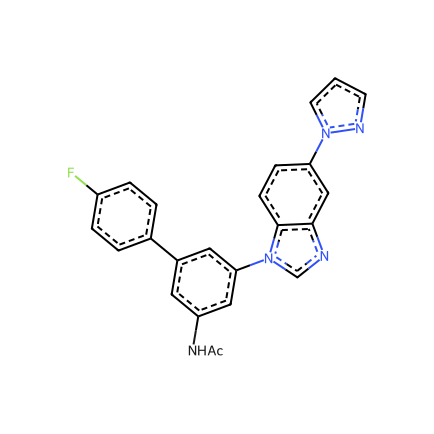 CC(=O)Nc1cc(-c2ccc(F)cc2)cc(-n2cnc3cc(-n4cccn4)ccc32)c1